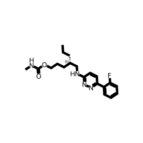 CCC[C@@H](CCCOC(=O)NC)CNc1ccc(-c2ccccc2F)nn1